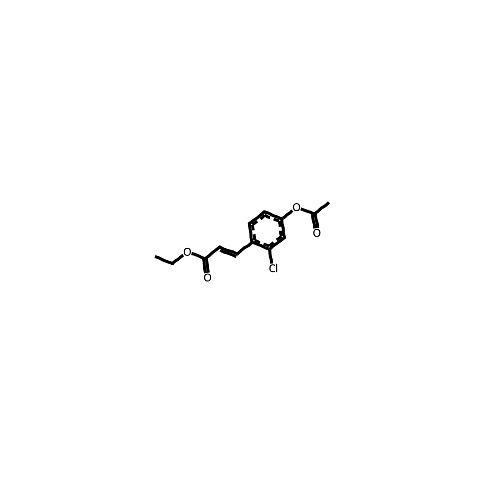 CCOC(=O)/C=C/c1ccc(OC(C)=O)cc1Cl